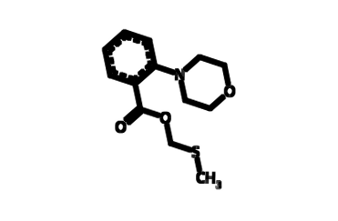 CSCOC(=O)c1ccccc1N1CCOCC1